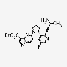 CCOC(=O)c1cnn2ccc(N3CCC[C@@H]3c3cc(F)cnc3C#CC(C)N)nc12